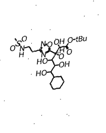 CC(C)(C)OC(=O)C(O)[C@@](O)(c1nc(CCNS(C)(=O)=O)no1)C(O)C(O)C(O)C1CCCCC1